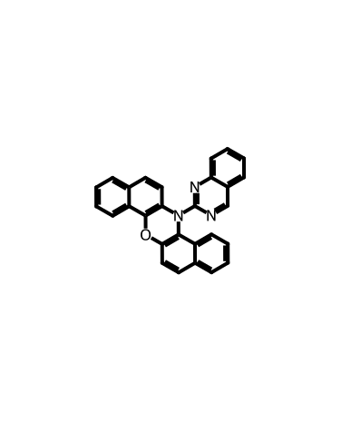 c1ccc2nc(N3c4ccc5ccccc5c4Oc4ccc5ccccc5c43)ncc2c1